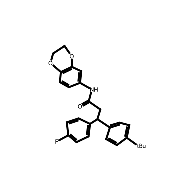 CC(C)(C)c1ccc(C(CC(=O)Nc2ccc3c(c2)OCCO3)c2ccc(F)cc2)cc1